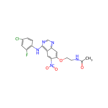 CC(=O)NCCOc1cc2ncnc(Nc3ccc(Cl)cc3F)c2cc1[N+](=O)[O-]